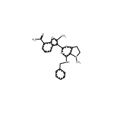 Cc1oc2c(C(N)=O)cccc2c1-c1nc2c(c(NCc3ccccc3)n1)N(C)CC2